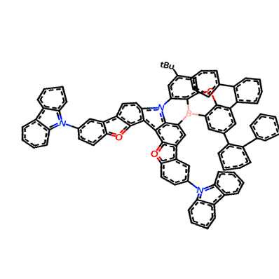 CC(C)(C)c1cc2c3c(c1)-n1c4ccc5c6cc(-n7c8ccccc8c8ccccc87)ccc6oc5c4c4c5oc6ccc(-n7c8ccccc8c8ccccc87)cc6c5cc(c41)B3c1cc(-c3ccccc3-c3ccccc3)cc(-c3ccccc3-c3ccccc3)c1O2